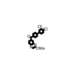 COc1cnc2ccc(C(=O)c3[c]cc(-c4ccc(Cl)c(C(F)(F)F)c4)cc3)cc2n1